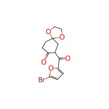 O=C1CCC2(CC1C(=O)c1ccc(Br)o1)OCCO2